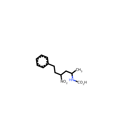 CC(CC(CCc1ccccc1)[N+](=O)[O-])NC(=O)O